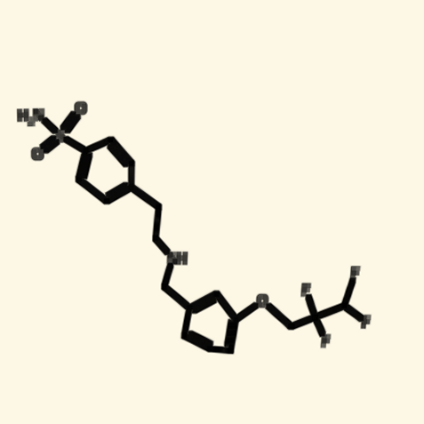 NS(=O)(=O)c1ccc(CCNCc2cccc(OCC(F)(F)C(F)F)c2)cc1